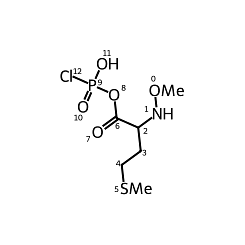 CONC(CCSC)C(=O)OP(=O)(O)Cl